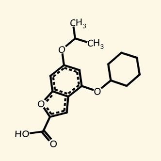 CC(C)Oc1cc(OC2CCCCC2)c2cc(C(=O)O)oc2c1